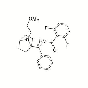 COCCN1C2CCC1([C@H](NC(=O)c1c(F)cccc1F)c1ccccc1)CC2